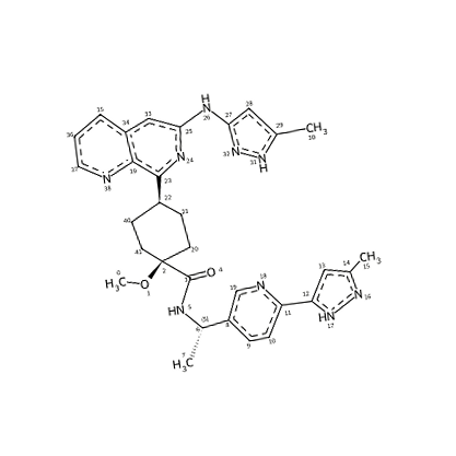 CO[C@]1(C(=O)N[C@@H](C)c2ccc(-c3cc(C)n[nH]3)nc2)CC[C@H](c2nc(Nc3cc(C)[nH]n3)cc3cccnc32)CC1